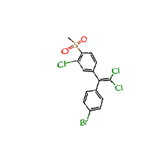 CS(=O)(=O)c1ccc(C(=C(Cl)Cl)c2ccc(Br)cc2)cc1Cl